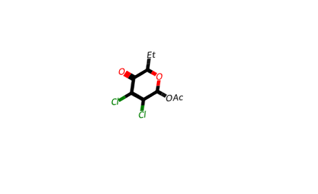 CCC1OC(OC(C)=O)C(Cl)C(Cl)C1=O